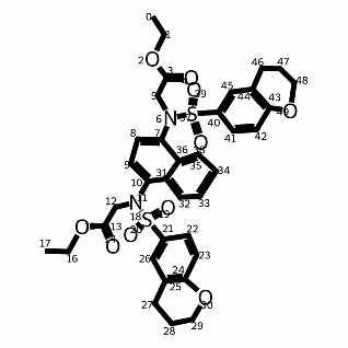 CCOC(=O)CN(c1ccc(N(CC(=O)OCC)S(=O)(=O)c2ccc3c(c2)CCCO3)c2ccccc12)S(=O)(=O)c1ccc2c(c1)CCCO2